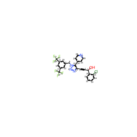 OC(C#Cc1nnn(Cc2cc(C(F)(F)F)cc(C(F)(F)F)c2)c1-c1ccncc1)c1ccccc1Cl